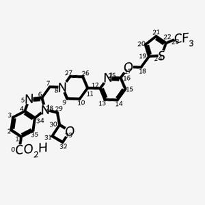 O=C(O)c1ccc2nc(CN3CCC(c4cccc(OCc5ccc(C(F)(F)F)s5)n4)CC3)n(CC3CCO3)c2c1